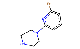 Brc1cccc(N2CCNCC2)n1